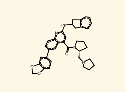 O=C(c1cc(NC2Cc3ccccc3C2)nc2ccc(-c3ccc4c(c3)OCO4)cc12)N1CCC[C@H]1CN1CCCC1